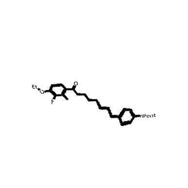 CCCCCc1ccc(CCCCCCCC(=O)c2ccc(OCC)c(F)c2C)cc1